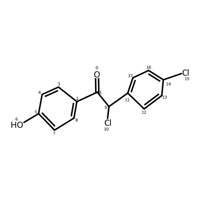 O=C(c1ccc(O)cc1)C(Cl)c1ccc(Cl)cc1